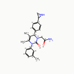 CC1=C(C#N)[C@@H](c2ccc(C3CN3)cc2)N(CC(N)=O)C(=O)N1c1cccc(C)c1